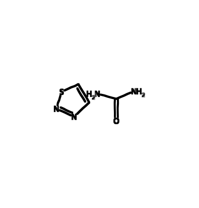 NC(N)=O.c1csnn1